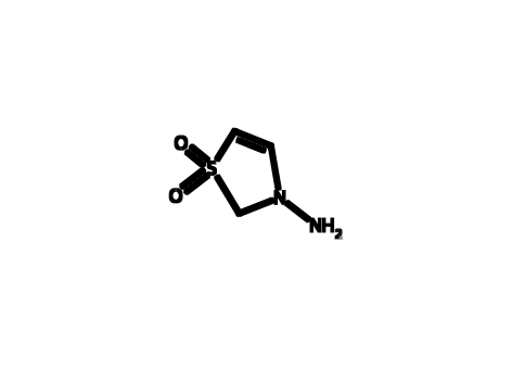 NN1C=CS(=O)(=O)C1